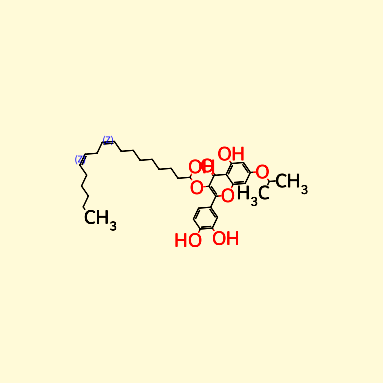 CCCCC/C=C\C/C=C\CCCCCCCC(O)Oc1c(-c2ccc(O)c(O)c2)oc2cc(OC(C)C)cc(O)c2c1=O